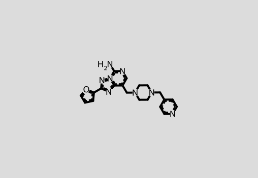 Nc1ncc(CN2CCN(Cc3ccncc3)CC2)c2nc(-c3ccco3)nn12